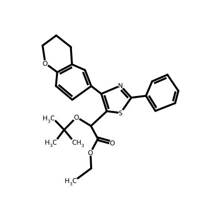 CCOC(=O)C(OC(C)(C)C)c1sc(-c2ccccc2)nc1-c1ccc2c(c1)CCCO2